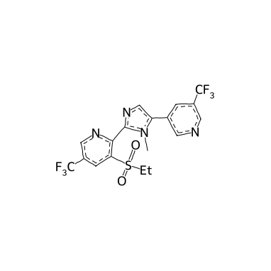 CCS(=O)(=O)c1cc(C(F)(F)F)cnc1-c1ncc(-c2cncc(C(F)(F)F)c2)n1C